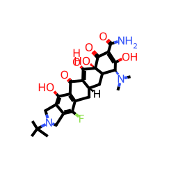 CN(C)[C@@H]1C(O)=C(C(N)=O)C(=O)[C@@]2(O)C(O)=C3C(=O)c4c(O)c5c(c(F)c4C[C@H]3CC12)CN(C(C)(C)C)C5